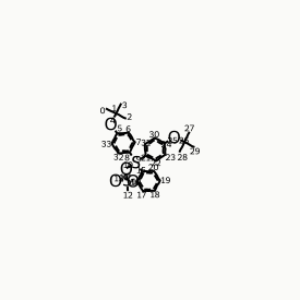 CC(C)(C)Oc1ccc(S(OS(C)(=O)=O)(c2ccccc2)c2ccc(OC(C)(C)C)cc2)cc1